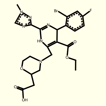 CCOC(=O)C1=C(CN2CCOC(CC(=O)O)C2)NC(c2ncn(C)n2)=NC1c1ccc(F)cc1Br